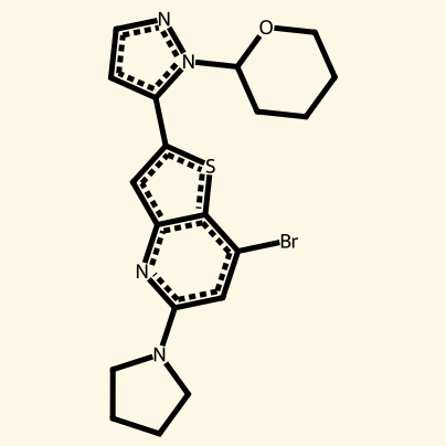 Brc1cc(N2CCCC2)nc2cc(-c3ccnn3C3CCCCO3)sc12